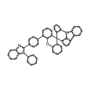 c1ccc(-n2c(-c3ccc(-c4cccc5c4Oc4ccccc4C54c5ccccc5-n5c6ccccc6c6cccc4c65)cc3)nc3ccccc32)cc1